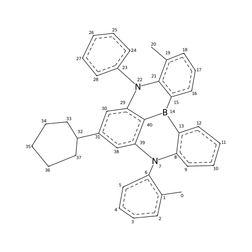 Cc1ccccc1N1c2ccccc2B2c3cccc(C)c3N(c3ccccc3)c3cc(C4CCCCC4)cc1c32